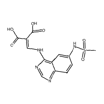 CS(=O)(=O)Nc1ccc2ncnc(NC=C(C(=O)O)C(=O)O)c2c1